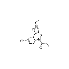 CCC(=O)N1Cc2cn(CC)nc2-c2cc(Cl)ccc21